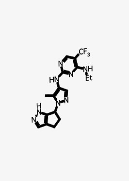 CCNc1nc(Nc2cnn(C3CCc4cn[nH]c43)c2C)ncc1C(F)(F)F